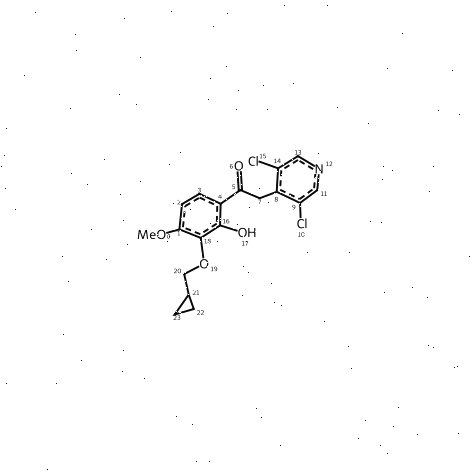 COc1ccc(C(=O)Cc2c(Cl)cncc2Cl)c(O)c1OCC1CC1